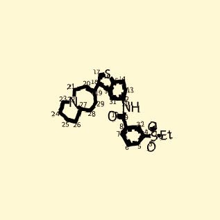 CCS(=O)(=O)c1cccc(C(=O)Nc2ccc3scc(C4=CCN5CCCCC5CC4)c3c2)c1